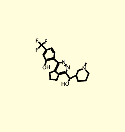 CN1CCCC(C(O)c2nnc(-c3ccc(C(F)(F)F)cc3O)c3c2CCC3)C1